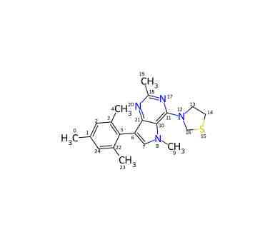 Cc1cc(C)c(-c2cn(C)c3c(N4CCSC4)nc(C)nc23)c(C)c1